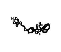 C=CS(=O)(=O)OCCOC1CC2CC1CC2(C(=O)OC1(C)C2CC3CC(C2)CC1C3)C(F)(F)F